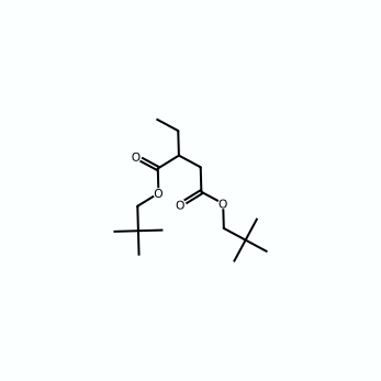 CCC(CC(=O)OCC(C)(C)C)C(=O)OCC(C)(C)C